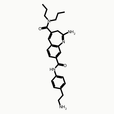 CCCN(CCC)C(=O)C1=Cc2ccc(C(=O)Nc3ccc(CCN)cc3)cc2N=C(N)C1